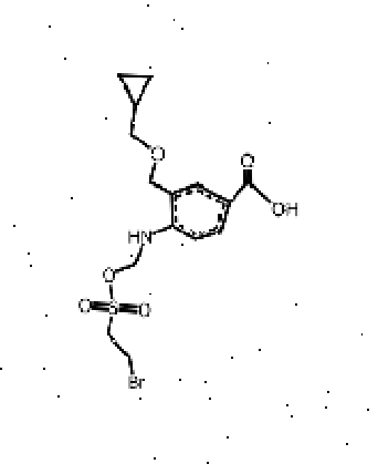 O=C(O)c1ccc(NCOS(=O)(=O)CCBr)c(COCC2CC2)c1